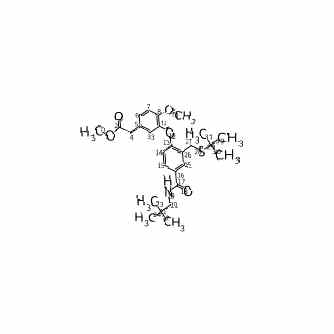 COC(=O)Cc1ccc(OC)c(Oc2ccc(C(=O)NCC(C)(C)C)cc2CSC(C)(C)C)c1